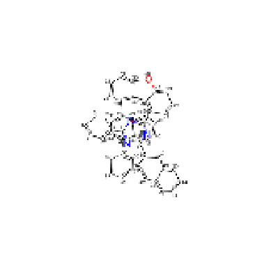 C1=CCCC(c2nc(-c3ccc4ccccc4c3)nc(-c3cccc4oc5cccc(-c6ccc(-c7ccccc7)c7ccccc67)c5c34)n2)=C1